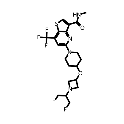 CNC(=O)c1csc2c(C(F)(F)F)cc(N3CCC(OC4CN(C(CF)CF)C4)CC3)nc12